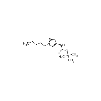 CCCCCn1cc(NC(=O)OC(C)(C)C)cn1